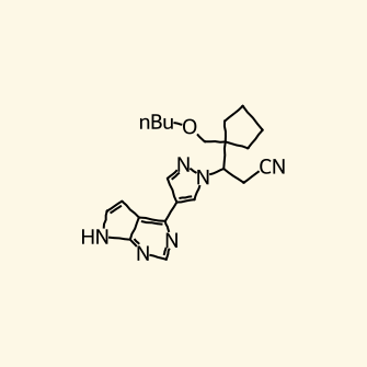 CCCCOCC1(C(CC#N)n2cc(-c3ncnc4[nH]ccc34)cn2)CCCC1